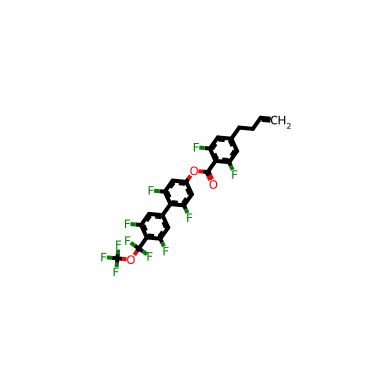 C=CCCc1cc(F)c(C(=O)Oc2cc(F)c(-c3cc(F)c(C(F)(F)OC(F)(F)F)c(F)c3)c(F)c2)c(F)c1